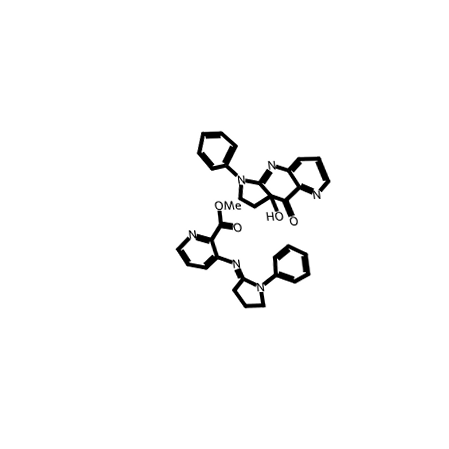 COC(=O)c1ncccc1/N=C1\CCCN1c1ccccc1.O=C1c2ncccc2N=C2N(c3ccccc3)CCC12O